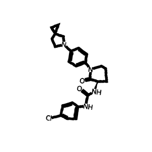 O=C(Nc1ccc(Cl)cc1)N[C@@H]1CCCN(c2ccc(N3CCC4(CC4)C3)cc2)C1=O